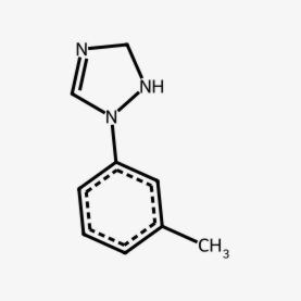 Cc1cccc(N2C=NCN2)c1